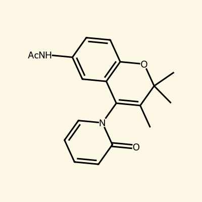 CC(=O)Nc1ccc2c(c1)C(n1ccccc1=O)=C(C)C(C)(C)O2